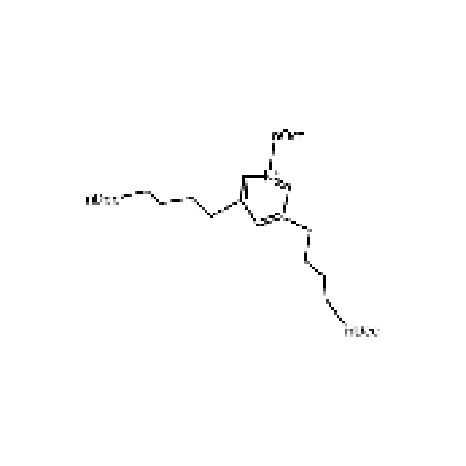 CCCCCCCCCCCCCCc1cc(CCCCCCCCCCCCCC)c[n+](CCCCCCCC)c1